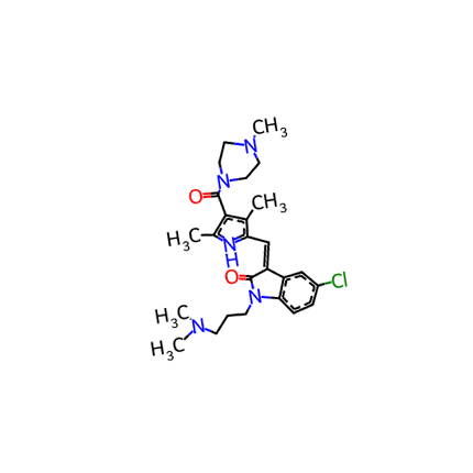 Cc1[nH]c(/C=C2\C(=O)N(CCCN(C)C)c3ccc(Cl)cc32)c(C)c1C(=O)N1CCN(C)CC1